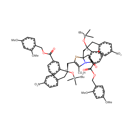 COc1ccc(COC(=O)c2cccc([C@@](CC3=C(C(=O)O)N4C(=O)CC4(C[C@](Cc4ccc([N+](=O)[O-])cc4)(O[Si](C)(C)C(C)(C)C)c4cccc(C(=O)OCc5ccc(OC)cc5OC)c4)S3)(Cc3ccc([N+](=O)[O-])cc3)O[Si](C)(C)C(C)(C)C)c2)c(OC)c1